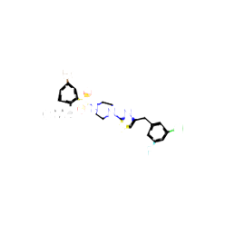 COc1ccc(Br)cc1S(=O)(=O)N1CCN(c2nc(Cc3cc(F)cc(Cl)c3)cs2)CC1